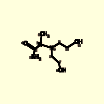 CN(C(N)=O)N(CCO)CCO